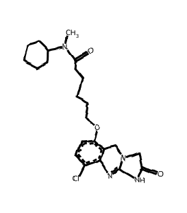 CN(C(=O)CCCCCOc1ccc(Cl)c2c1CN1CC(=O)NC1=N2)C1CCCCC1